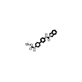 CC(C)(C)OC(=O)NC1CCC(c2ccc(NC(=O)N3Cc4ccccc4C3)cc2)CC1